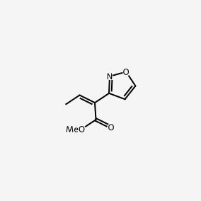 CC=C(C(=O)OC)c1ccon1